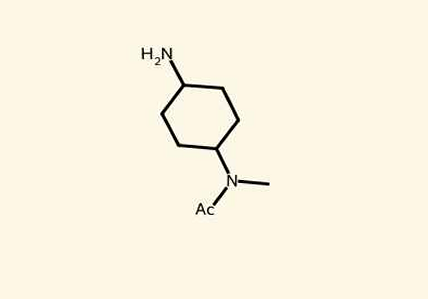 CC(=O)N(C)C1CCC(N)CC1